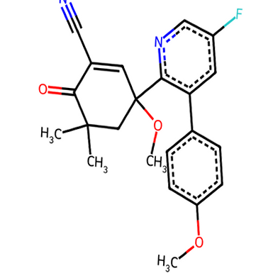 COc1ccc(-c2cc(F)cnc2C2(OC)C=C(C#N)C(=O)C(C)(C)C2)cc1